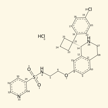 Cl.O=S(=O)(NCCOc1ccc2c(c1)[C@H](C1(c3ccc(Cl)cc3)CCC1)NCC2)c1cccnc1